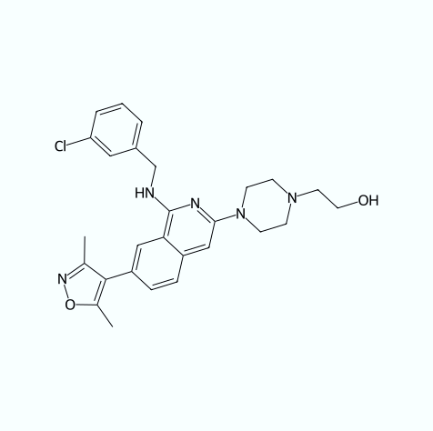 Cc1noc(C)c1-c1ccc2cc(N3CCN(CCO)CC3)nc(NCc3cccc(Cl)c3)c2c1